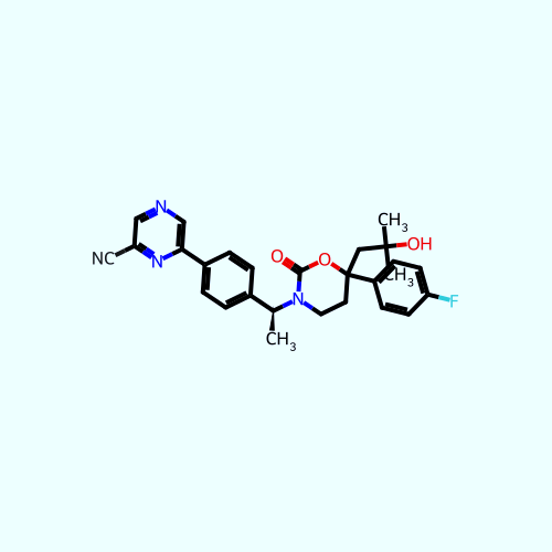 C[C@@H](c1ccc(-c2cncc(C#N)n2)cc1)N1CCC(CC(C)(C)O)(c2ccc(F)cc2)OC1=O